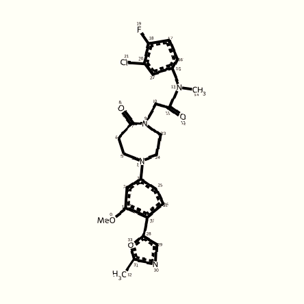 COc1cc(N2CCC(=O)N(CC(=O)N(C)c3ccc(F)c(Cl)c3)CC2)ccc1-c1cnc(C)o1